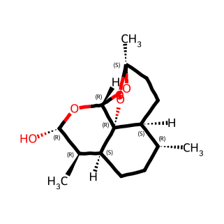 C[C@H]1[C@H](O)O[C@@H]2O[C@]3(C)CC[C@H]4[C@H](C)CC[C@@H]1[C@@]24OO3